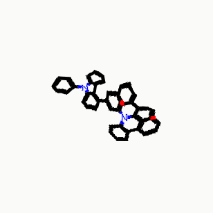 C1=CC(c2ccccc2)=C(N(c2cccc(-c3cccc4c3c3ccccc3n4-c3ccccc3)c2)c2ccccc2-c2ccccc2)CC1